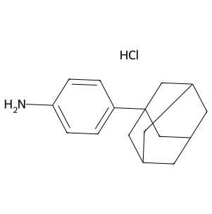 Cl.Nc1ccc(C23CC4CC(CC(C4)C2)C3)cc1